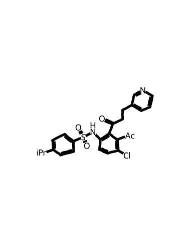 CC(=O)c1c(Cl)ccc(NS(=O)(=O)c2ccc(C(C)C)cc2)c1C(=O)CCc1cccnc1